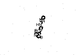 O=c1ccc2ncc(F)c3c2n1CC3(O)CN1CCC(NCc2cnc3ccccc3n2)CC1